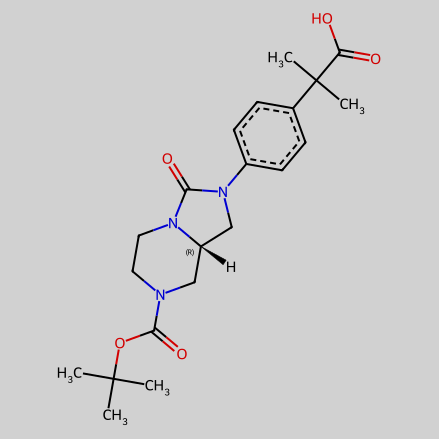 CC(C)(C)OC(=O)N1CCN2C(=O)N(c3ccc(C(C)(C)C(=O)O)cc3)C[C@@H]2C1